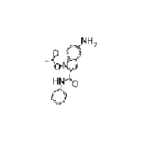 CC(=O)On1c(C(=O)Nc2ccccc2)cc2cc(N)ccc21